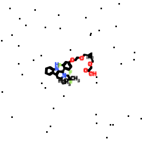 C[C@@H]1Cc2c([nH]c3ccccc23)[C@@H](c2c(F)cc(OCCOC[C@H]3C[C@H]3COCC(=O)O)cc2F)N1CC(C)(C)F